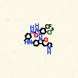 Cc1ccc(NC(=O)Nc2ccc(Cl)c(C(F)(F)F)c2)cc1Nc1ccc2c(c1)NC(=O)/C2=C\c1ccc[nH]1